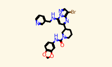 O=C(Nc1ccc2c(c1)OCO2)N1CCCC(c2cc(NCc3cccnc3)n3ncc(Br)c3n2)C1